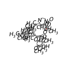 CC[C@H]1OC(=O)[C@H](C)[C@@H](O[C@H]2C[C@@](C)(OC)[C@@H](O)[C@H](C)O2)[C@H](C)[C@@H](O[C@@H]2O[C@H](C)C[C@H](N(C)C)[C@H]2O)[C@@](C)(OC)C[C@@H](C)C2=NCCN3C(=O)O[C@@]1(C)[C@H]3[C@H]2C